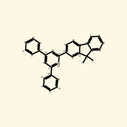 CC1(C)c2ccccc2-c2ccc(-c3cc(-c4ccccc4)cc(-c4ccccc4)n3)cc21